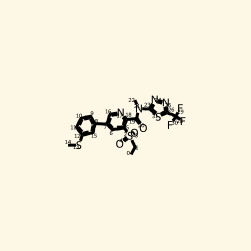 CCS(=O)(=O)c1cc(-c2cccc(SC)c2)cnc1C(=O)N(C)c1nnc(C(F)(F)F)s1